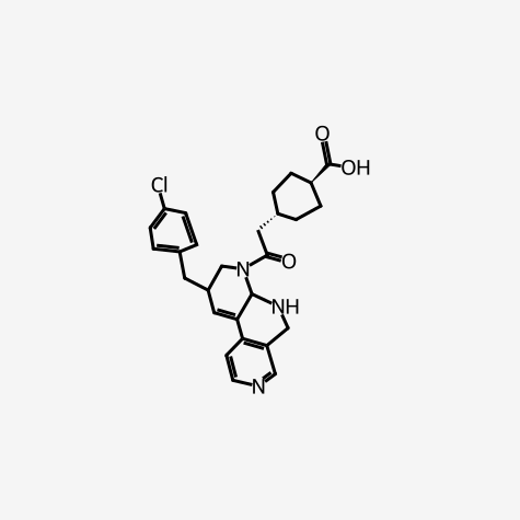 O=C(C[C@H]1CC[C@H](C(=O)O)CC1)N1CC(Cc2ccc(Cl)cc2)C=C2c3ccncc3CNC21